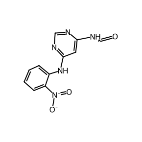 O=[C]Nc1cc(Nc2ccccc2[N+](=O)[O-])ncn1